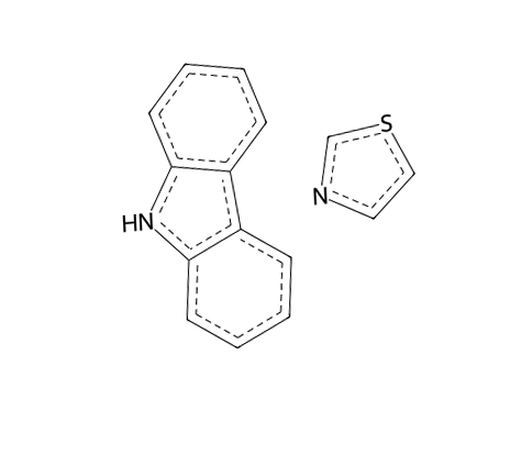 c1ccc2c(c1)[nH]c1ccccc12.c1cscn1